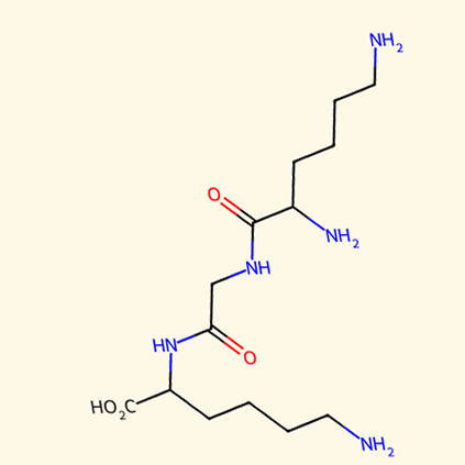 NCCCCC(N)C(=O)NCC(=O)NC(CCCCN)C(=O)O